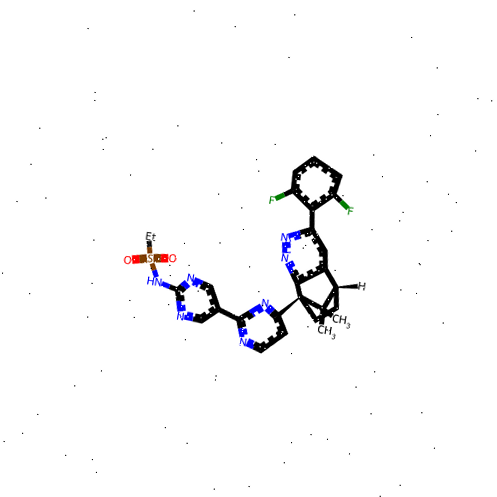 CCS(=O)(=O)Nc1ncc(-c2nccc([C@@]34CC[C@@H](c5cc(-c6c(F)cccc6F)nnc53)C4(C)C)n2)cn1